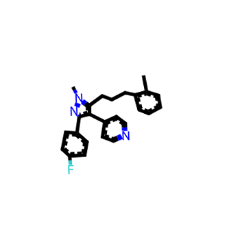 Cc1ccccc1CCCc1c(-c2ccncc2)c(-c2ccc(F)cc2)nn1C